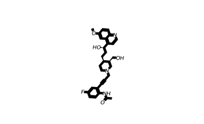 COc1ccc2nccc([C@@H](O)CC[C@@H]3CCN(CC#Cc4cc(F)ccc4NC(C)=O)C[C@@H]3CO)c2c1